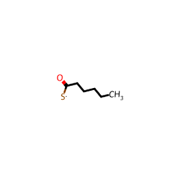 CCCCCC(=O)[S]